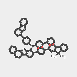 CC1(C)c2ccccc2-c2ccc(-c3ccc(-c4ccc5c(oc6c7ccccc7ccc56)c4N(c4ccc(-c5ccccc5)cc4)c4ccc(-c5cccc6c5sc5ccccc56)cc4)cc3)cc21